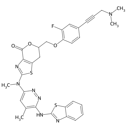 Cc1cc(N(C)c2nc3c(s2)CC(COc2ccc(C#CCN(C)C)cc2F)OC3=O)nnc1Nc1nc2ccccc2s1